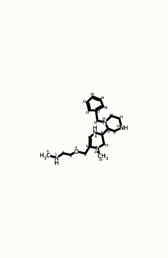 CNCCOCC1=CNC(C2CNCCN2Cc2ccccc2)CN1C